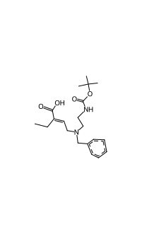 CC/C(=C\CN(CCNC(=O)OC(C)(C)C)Cc1ccccc1)C(=O)O